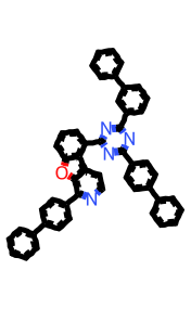 c1ccc(-c2ccc(-c3nc(-c4cccc(-c5ccccc5)c4)nc(-c4cccc5oc6c(-c7ccc(-c8ccccc8)cc7)nccc6c45)n3)cc2)cc1